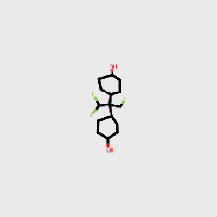 OC1CCC(C(CF)(C(F)F)C2CCC(O)CC2)CC1